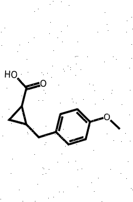 COc1ccc(CC2CC2C(=O)O)cc1